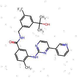 Cc1ccc(C(=O)NCc2cc(C(C)(C)O)cc(C(F)(F)F)c2)cc1Nc1nccc(-c2cccnc2)n1